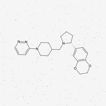 c1cnnc(N2CCC(CN3CCC[C@@H]3c3ccc4c(c3)OCCO4)CC2)c1